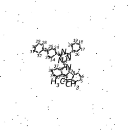 CC1(C)c2ccccc2-c2nc(-c3nc(-c4ccccc4)nc(-c4ccc(-c5ccccc5)cc4)n3)c3ccccc3c21